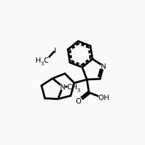 CI.CN1C2CCC1CC(C1(C(=O)O)C=Nc3ccccc31)C2